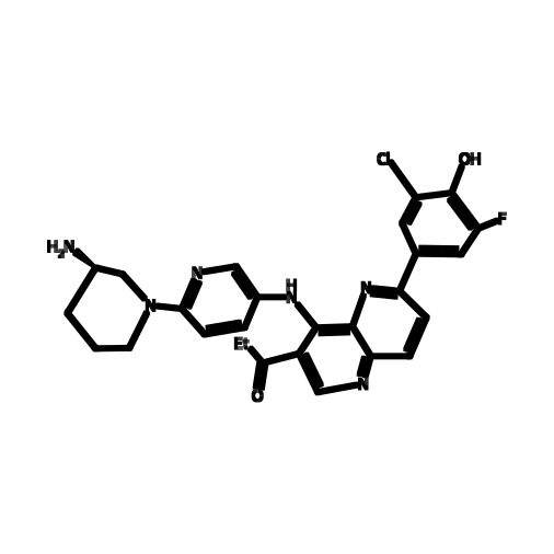 CCC(=O)c1cnc2ccc(-c3cc(F)c(O)c(Cl)c3)nc2c1Nc1ccc(N2CCC[C@@H](N)C2)nc1